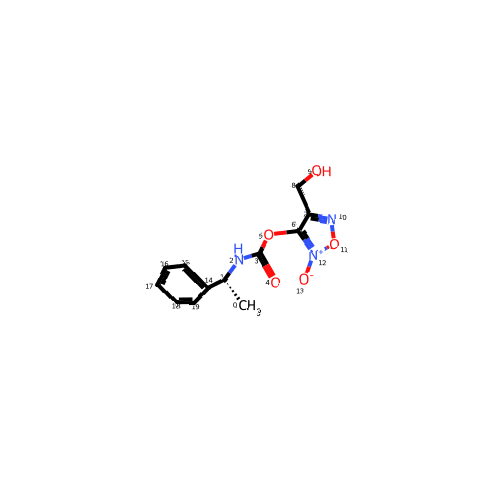 C[C@@H](NC(=O)Oc1c(CO)no[n+]1[O-])c1ccccc1